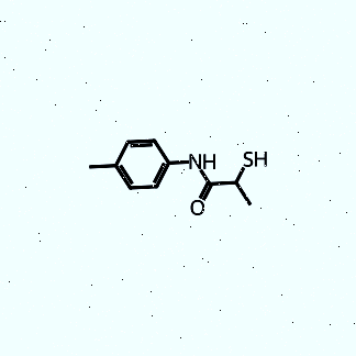 Cc1ccc(NC(=O)C(C)S)cc1